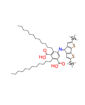 CCCCCCCCCCCCc1c(N=C2c3c[c]([Sn]([CH3])([CH3])[CH3])sc3-c3s[c]([Sn]([CH3])([CH3])[CH3])cc32)cc(C(=O)O)c(CCCCCCCCCCCC)c1C(=O)O